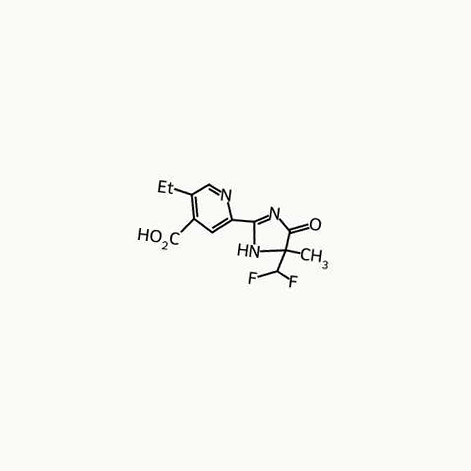 CCc1cnc(C2=NC(=O)C(C)(C(F)F)N2)cc1C(=O)O